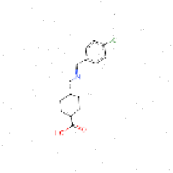 O=C(O)[C@H]1CC[C@H](CN=Cc2ccc(Cl)cc2)CC1